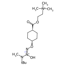 CN(/[N+](O)=N/O[C@H]1CC[C@@H](C(=O)OCC[N+](C)(C)C)CC1)C(C)(C)C